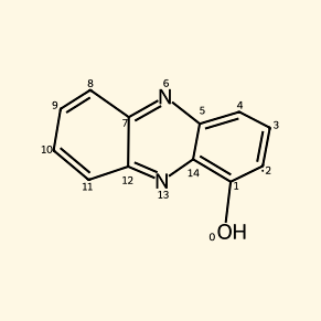 Oc1[c]ccc2nc3ccccc3nc12